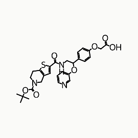 CC(C)(C)OC(=O)N1CCc2sc(C(=O)NCC(Oc3cccnc3)c3ccc(OCC(=O)O)cc3)cc2C1